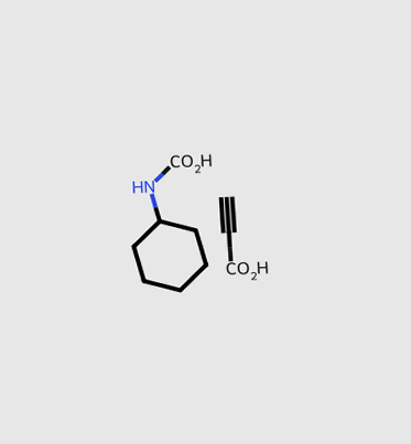 C#CC(=O)O.O=C(O)NC1CCCCC1